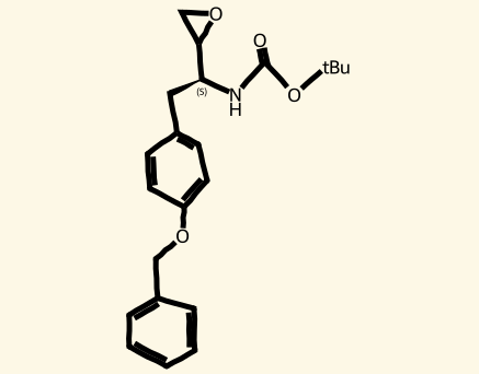 CC(C)(C)OC(=O)N[C@@H](Cc1ccc(OCc2ccccc2)cc1)C1CO1